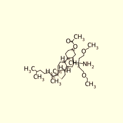 CCOCCC(N)(CCOCC)C1=C2C[C@@H](OC(C)=O)CC[C@]2(C)[C@H]2CC[C@]3(C)[C@@H]([C@H](C)CCCC(C)C)CC[C@H]3[C@@H]2C1